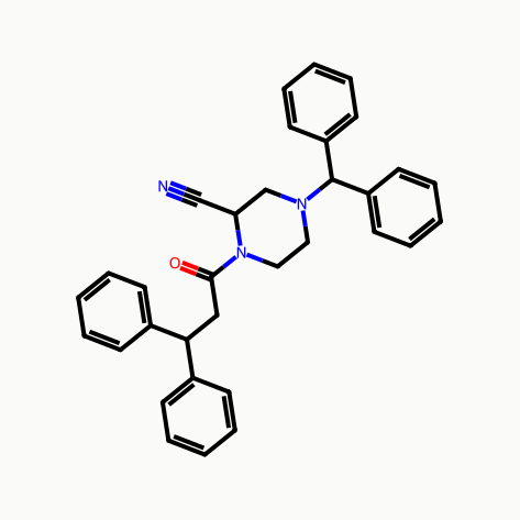 N#CC1CN(C(c2ccccc2)c2ccccc2)CCN1C(=O)CC(c1ccccc1)c1ccccc1